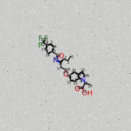 CCc1oc(-c2ccc(C(F)(F)F)cc2)nc1CCOc1ccc2c(ccn2C(C)C(=O)O)c1